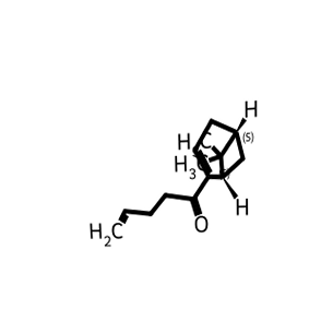 C=CCCC(=O)C1=CC[C@@H]2C[C@H]1C2(C)C